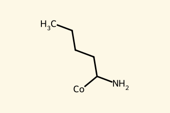 CCCC[CH](N)[Co]